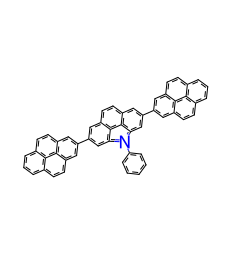 c1ccc(-n2c3cc(-c4cc5ccc6cccc7ccc(c4)c5c67)cc4ccc5cc(-c6cc7ccc8cccc9ccc(c6)c7c89)cc2c5c43)cc1